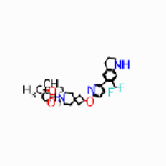 CC(C)(C)OC(=O)N1CCC2(CC1)CC(Oc1ccc(-c3cc4c(cc3C(F)F)NCCC4)cn1)C2